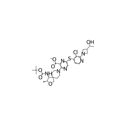 COC(=O)c1nc(Sc2ccnc(N3CC(C(C)O)C3)c2Cl)cnc1N1CCC2(CC1)CO[C@@H](C)[C@H]2NC(=O)OC(C)(C)C